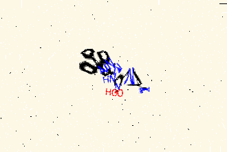 N#C[C@H]1CCN(C[C@@H]2C[C@H](Nc3ncnc4c3ccn4C(c3ccccc3)(c3ccccc3)c3ccccc3)CN(C(=O)O)C2)C1